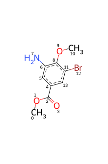 COC(=O)c1cc(N)c(OC)c(Br)c1